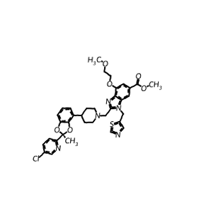 COCCOc1cc(C(=O)OC)cc2c1nc(CN1CCC(c3cccc4c3O[C@](C)(c3ccc(Cl)cn3)O4)CC1)n2Cc1cncs1